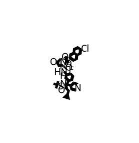 CO[C@H]1C[C@H](C(=O)Nc2cc(C(CCC3CC3)(N[S@+]([O-])C(C)(C)C)c3ccncc3)ccc2F)N(S(=O)(=O)c2ccc3cc(Cl)ccc3c2)C1